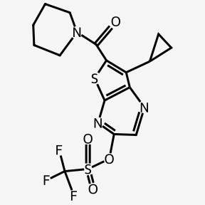 O=C(c1sc2nc(OS(=O)(=O)C(F)(F)F)cnc2c1C1CC1)N1CCCCC1